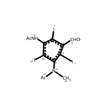 CC(=O)Nc1c(I)c([C]=O)c(I)c(N(C)C(C)=O)c1I